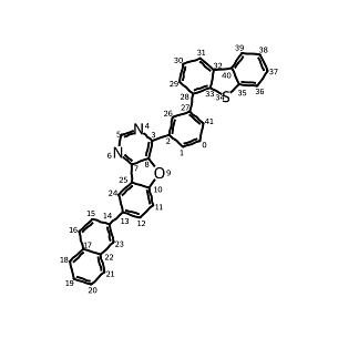 c1cc(-c2ncnc3c2oc2ccc(-c4ccc5ccccc5c4)cc23)cc(-c2cccc3c2sc2ccccc23)c1